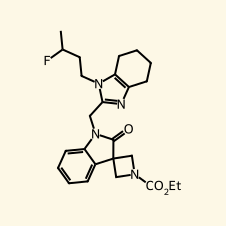 CCOC(=O)N1CC2(C1)C(=O)N(Cc1nc3c(n1CCC(C)F)CCCC3)c1ccccc12